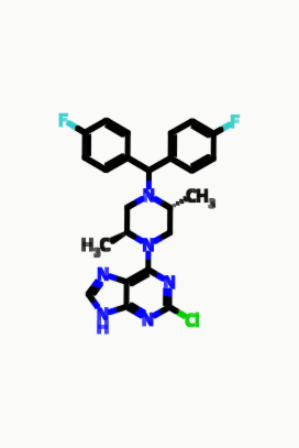 C[C@@H]1CN(c2nc(Cl)nc3[nH]cnc23)[C@@H](C)CN1C(c1ccc(F)cc1)c1ccc(F)cc1